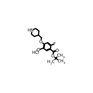 CC(C)(C)OC(=O)c1cc(Cl)c(OCC2CCNCC2)cc1F.Cl